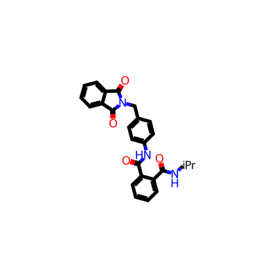 CC(C)NC(=O)c1ccccc1C(=O)Nc1ccc(CN2C(=O)c3ccccc3C2=O)cc1